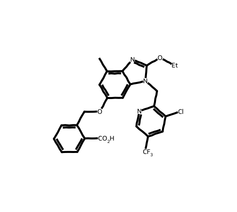 CCOc1nc2c(C)cc(OCc3ccccc3C(=O)O)cc2n1Cc1ncc(C(F)(F)F)cc1Cl